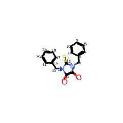 O=C1C(=O)N(Cc2ccccc2)C(=S)N1Cc1ccccc1